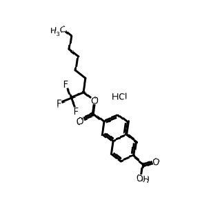 CCCCCCC(OC(=O)c1ccc2cc(C(=O)O)ccc2c1)C(F)(F)F.Cl